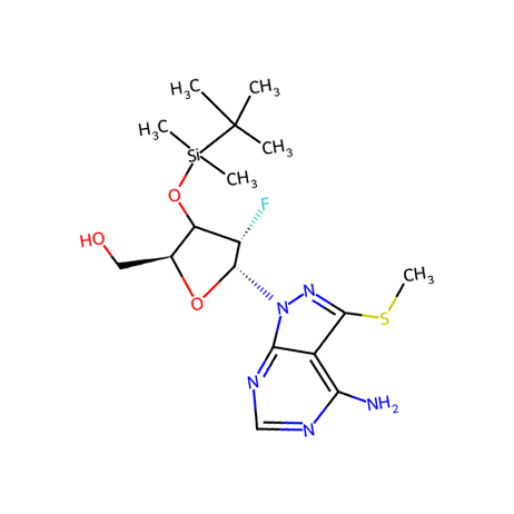 CSc1nn([C@@H]2O[C@@H](CO)C(O[Si](C)(C)C(C)(C)C)[C@@H]2F)c2ncnc(N)c12